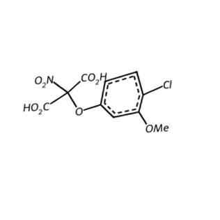 COc1cc(OC(C(=O)O)(C(=O)O)[N+](=O)[O-])ccc1Cl